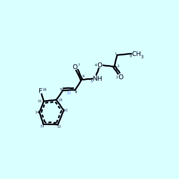 CCC(=O)ONC(=O)/C=C/c1ccccc1F